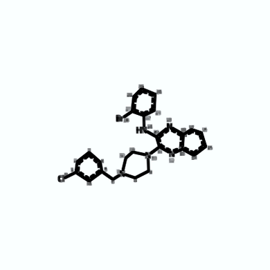 Clc1cccc(CN2CCN(c3nc4ccccc4nc3Nc3ccccc3Br)CC2)c1